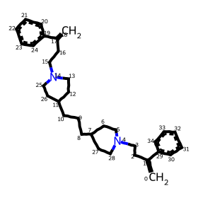 C=C(CCN1CCC(CCCC2CCN(CCC(=C)c3ccccc3)CC2)CC1)c1ccccc1